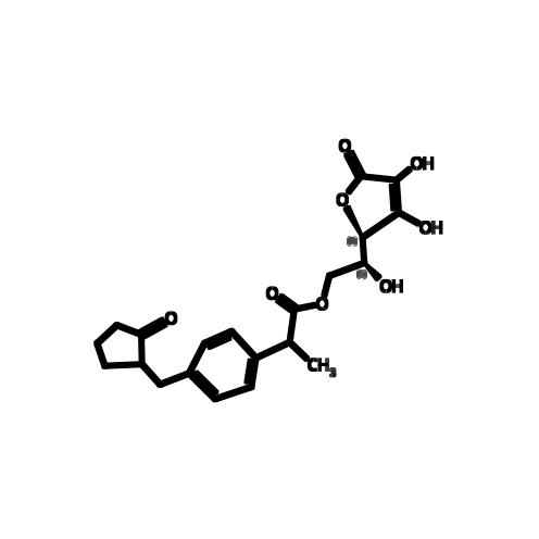 CC(C(=O)OC[C@H](O)[C@H]1OC(=O)C(O)=C1O)c1ccc(CC2CCCC2=O)cc1